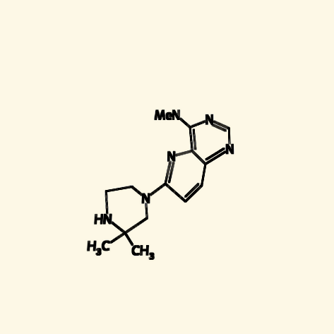 CNc1ncnc2ccc(N3CCNC(C)(C)C3)nc12